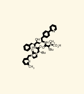 CCC(C)[C@@H](C(=O)N[C@@H](Cc1ccccc1)[C@@H](O)C[C@H](Cc1ccc(-c2ccccn2)cc1)NC(=O)[C@@H](N(C)C(=O)O)C(C)(C)C)N1CCN(Cc2cccc(C)n2)C1=O